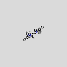 Cc1cc(-c2ccc(N(C)c3ccccc3-c3ccc4c(c3)-c3ccccc3C4)c(C)c2)ccc1N(C)c1ccccc1-c1ccc2c(c1)-c1ccccc1C2